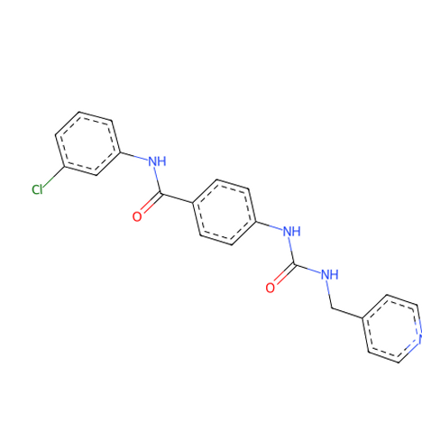 O=C(NCc1ccncc1)Nc1ccc(C(=O)Nc2cccc(Cl)c2)cc1